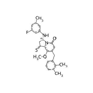 COc1c(Cc2cccc(C)c2C)cc(=O)n2c1C(=S)C[C@@H]2Nc1cc(C)cc(F)c1